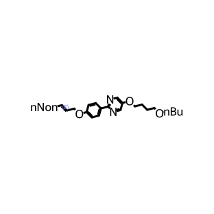 CCCCCCCCC/C=C/COc1ccc(-c2ncc(OCCCCOCCCC)cn2)cc1